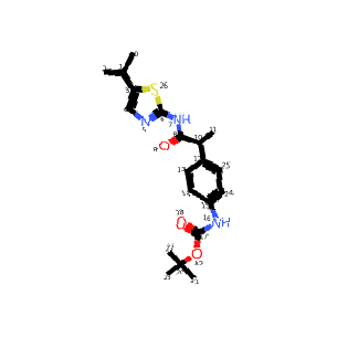 CC(C)c1cnc(NC(=O)C(C)c2ccc(NC(=O)OC(C)(C)C)cc2)s1